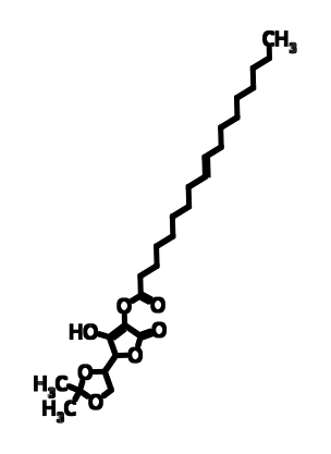 CCCCCCCCC=CCCCCCCCC(=O)OC1=C(O)C(C2COC(C)(C)O2)OC1=O